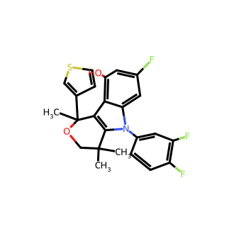 CC1(C)COC(C)(c2ccsc2)c2c1n(-c1ccc(F)c(F)c1)c1cc(F)cc(O)c21